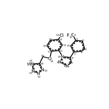 FC(F)(F)c1cccc(-c2cnnn2-c2cc(Cl)ccc2OCc2nnn[nH]2)c1